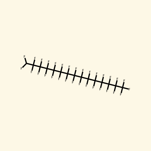 F[C](F)C(F)(F)C(F)(F)C(F)(F)C(F)(F)C(F)(F)C(F)(F)C(F)(F)C(F)(F)C(F)(F)C(F)(F)C(F)(F)C(F)(F)C(F)(F)C(F)(F)F